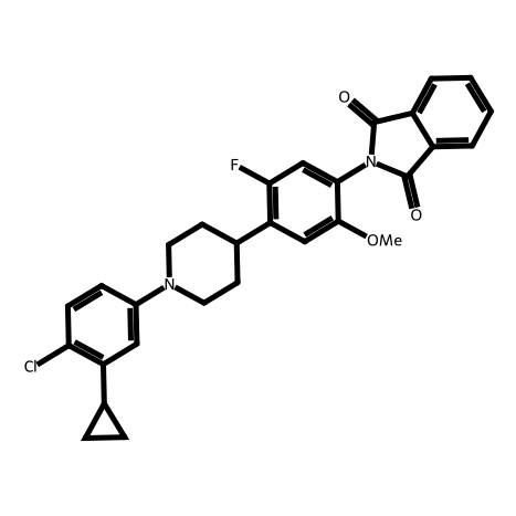 COc1cc(C2CCN(c3ccc(Cl)c(C4CC4)c3)CC2)c(F)cc1N1C(=O)c2ccccc2C1=O